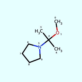 COC(C)(C)N1CCCC1